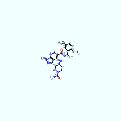 CC[C@@H](NC(=O)c1cnc2c(cnn2CC)c1NC1CCN(C(N)=O)CC1)c1cc(C)ccc1C